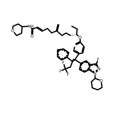 C=C(CC/C=C/C(=O)NC1CCOCC1)CCC[C@H](CC)OC(=C)\C=C/C(=C\C)C(=C(/CC(F)(F)F)c1ccccc1)/c1ccc2c(c1)c(F)nn2C1CCCCO1